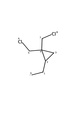 [CH2]CC1CC1(CCl)CCl